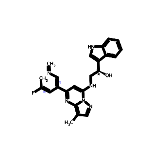 C=N/C=C(\C=C(/C)F)c1cc(NC[C@H](O)c2c[nH]c3ccccc23)n2ncc(C)c2n1